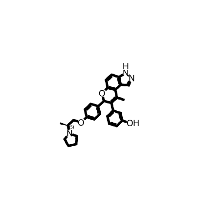 CC1=C(c2cccc(O)c2)C(c2ccc(OC[C@H](C)N3CCCC3)cc2)Oc2ccc3[nH]ncc3c21